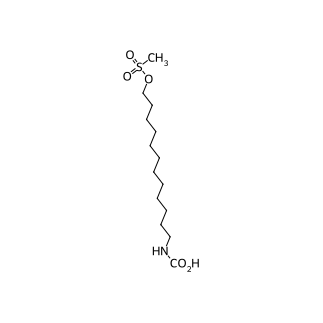 CS(=O)(=O)OCCCCCCCCCCCCNC(=O)O